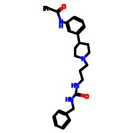 CC(C)C(=O)Nc1cccc(C2CCN(CCCNC(=O)NCc3ccccc3)CC2)c1